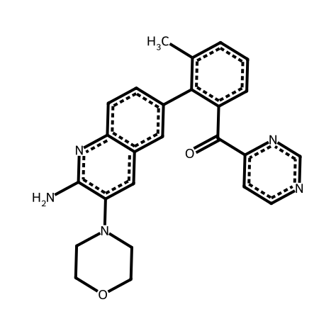 Cc1cccc(C(=O)c2ccncn2)c1-c1ccc2nc(N)c(N3CCOCC3)cc2c1